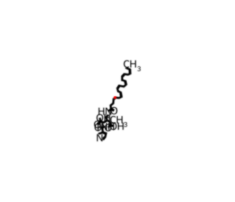 CC/C=C\C/C=C\C/C=C\C/C=C\C/C=C\C/C=C\CCC(=O)NCCC(C(C)C(O)O)[C@H](NC(=O)c1cccnc1)C(=O)O